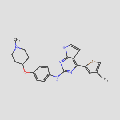 Cc1csc(-c2nc(Nc3ccc(OC4CCN(C)CC4)cc3)nc3[nH]ccc23)c1